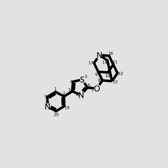 c1cc(-c2csc(OC3C4CC5CC3CN(C5)C4)n2)ccn1